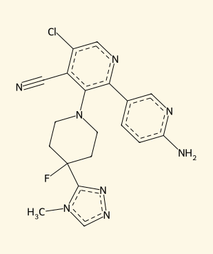 Cn1cnnc1C1(F)CCN(c2c(-c3ccc(N)nc3)ncc(Cl)c2C#N)CC1